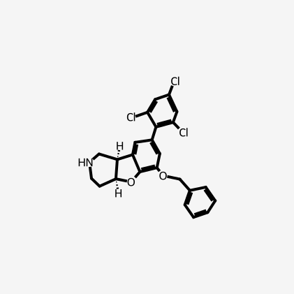 Clc1cc(Cl)c(-c2cc(OCc3ccccc3)c3c(c2)[C@@H]2CNCC[C@@H]2O3)c(Cl)c1